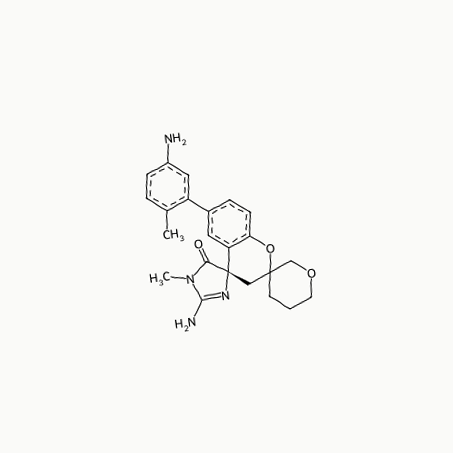 Cc1ccc(N)cc1-c1ccc2c(c1)[C@]1(CC3(CCCOC3)O2)N=C(N)N(C)C1=O